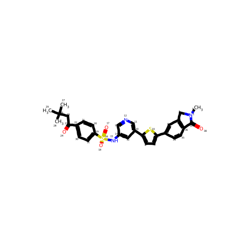 CN1Cc2cc(-c3ccc(-c4cncc(NS(=O)(=O)c5ccc(C(=O)CC(C)(C)C)cc5)c4)s3)ccc2C1=O